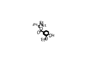 CCOc1cc(C(=O)OC[C@H](C(C)C)N(CC)CC)ccc1O